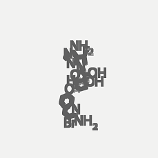 Nc1nc2cc(O[C@H]3CC[C@]4(O)C(O)[C@H](n5cc(F)c6c(N)ncnc65)O[C@H]34)ccc2cc1Br